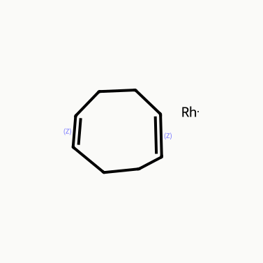 C1=C\CC/C=C\CC/1.[Rh]